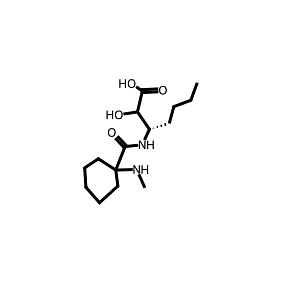 CCCC[C@H](NC(=O)C1(NC)CCCCC1)C(O)C(=O)O